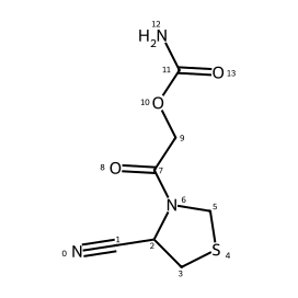 N#CC1CSCN1C(=O)COC(N)=O